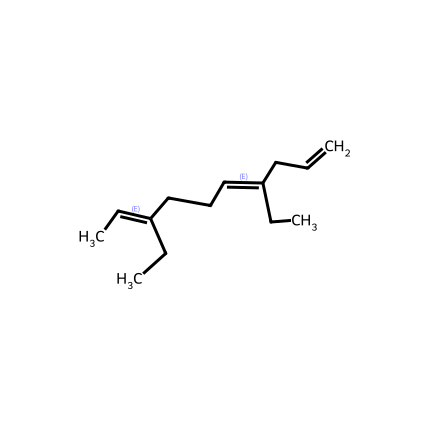 C=CC/C(=C/CC/C(=C/C)CC)CC